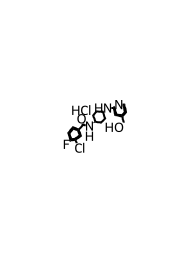 Cl.O=C(N[C@H]1CC[C@@H](Nc2cc(CO)ccn2)CC1)c1ccc(F)c(Cl)c1